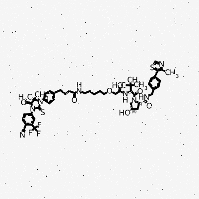 Cc1ncsc1-c1ccc(CNC(=O)[C@@H]2C[C@@H](O)CN2C(=O)[C@@H](NC(=O)COCCCCCNC(=O)CCCc2ccc(N3C(=S)N(c4ccc(C#N)c(C(F)(F)F)c4)C(=O)C3(C)C)cc2)C(C)(C)C)cc1